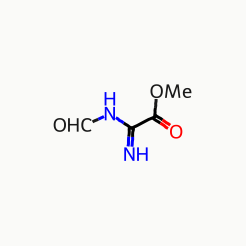 COC(=O)C(=N)NC=O